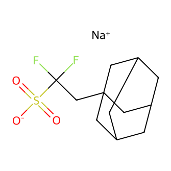 O=S(=O)([O-])C(F)(F)CC12CC3CC(CC(C3)C1)C2.[Na+]